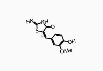 COc1cc(/C=C2/SC(=N)NC2=O)ccc1O